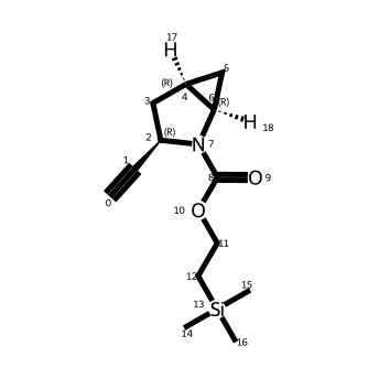 C#C[C@H]1C[C@H]2C[C@H]2N1C(=O)OCC[Si](C)(C)C